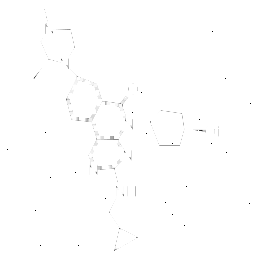 C[C@@H]1CN(c2ccc3c(c2)c(=O)n([C@H]2CC[C@H](O)CC2)c2nc(NCC4CC4)ncc32)[C@@H](C)CN1C